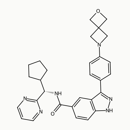 O=C(N[C@H](c1ncccn1)C1CCCC1)c1ccc2[nH]nc(-c3ccc(N4CC5(COC5)C4)cc3)c2c1